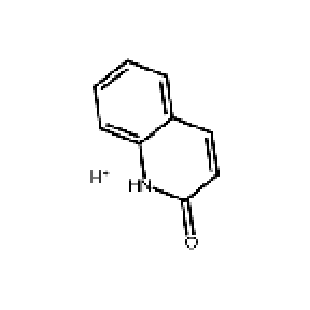 O=c1ccc2ccccc2[nH]1.[H+]